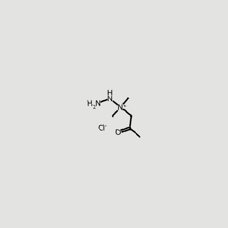 CC(=O)C[N+](C)(C)NN.[Cl-]